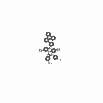 CCc1ccc(N2c3cc(CC)cc4c3B(c3cc(CC)ccc3N4c3cccc(-c4cccc5c6ccccc6c6ccccc6c45)c3)c3sc4ccc(CC)cc4c32)cc1